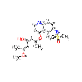 C=C(/C=C(O)\C=C(/C)OC)Oc1ccnc2ccc(N=S(C)(C)=O)cc12